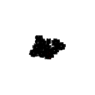 N#Cc1cc(-n2c3ccccc3c3ccc(-n4c5ccccc5c5ccccc54)cc32)c(-n2c3ccccc3c3ccc(-n4c5ccccc5c5ccccc54)cc32)cc1-c1ccc(C(F)(F)F)cc1C(F)(F)F